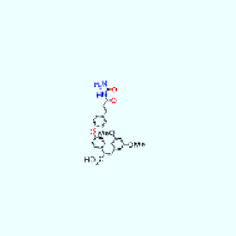 COc1cc(/C=C(/C(=O)O)c2ccc(Oc3ccc(/C=C/C(=O)NC(N)=O)cc3)cc2)cc(OC)c1